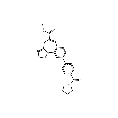 O=C(OF)C1=Cc2ccc(-c3ccc(C(=O)N4CCCC4)cc3)cc2N2CCN=C2C1